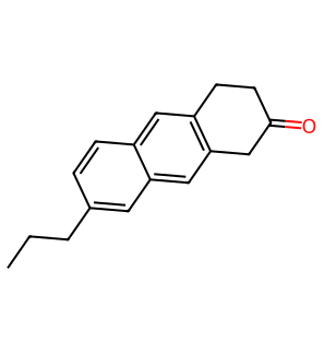 CCCc1ccc2cc3c(cc2c1)CC(=O)CC3